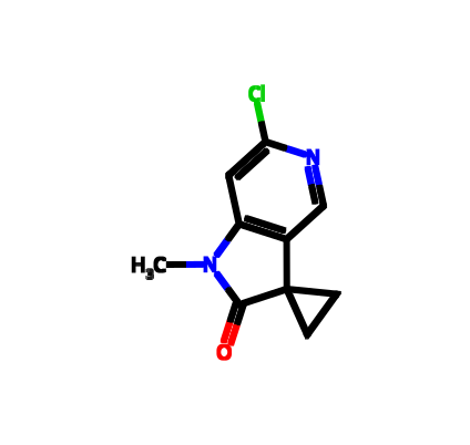 CN1C(=O)C2(CC2)c2cnc(Cl)cc21